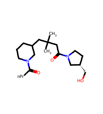 CCCC(=O)N1CCCC(CC(C)(C)CC(=O)N2CC[C@H](CO)C2)C1